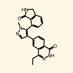 CCc1n[nH]c(=O)c2ccc(-c3cnn(C)c3-c3cccc4c3C(=O)NC4)cc12